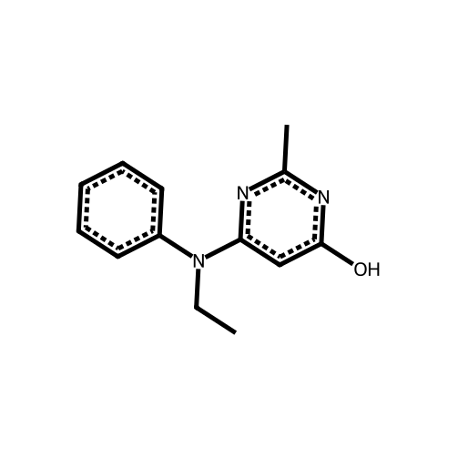 CCN(c1ccccc1)c1cc(O)nc(C)n1